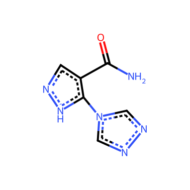 NC(=O)c1cn[nH]c1-n1cnnc1